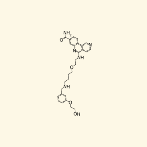 NC(=O)c1ccc2c(c1)nc(NCCOCCCCNCc1cccc(OCCO)c1)c1ccncc12